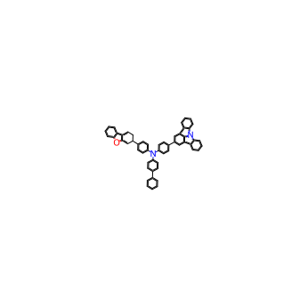 C1=c2oc3ccccc3c2=CCC1c1ccc(N(c2ccc(-c3ccccc3)cc2)c2ccc(-c3cc4c5ccccc5n5c6ccccc6c(c3)c45)cc2)cc1